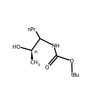 CCCC(NC(=O)OC(C)(C)C)[C@@H](C)O